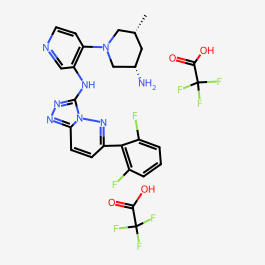 C[C@@H]1C[C@H](N)CN(c2ccncc2Nc2nnc3ccc(-c4c(F)cccc4F)nn23)C1.O=C(O)C(F)(F)F.O=C(O)C(F)(F)F